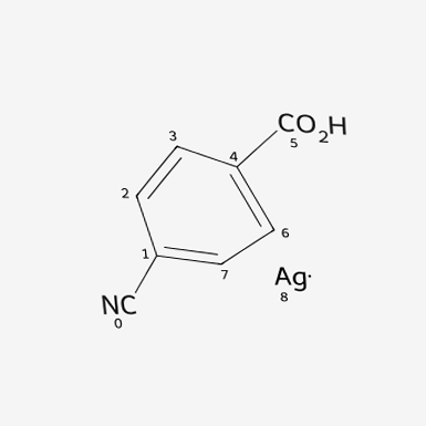 N#Cc1ccc(C(=O)O)cc1.[Ag]